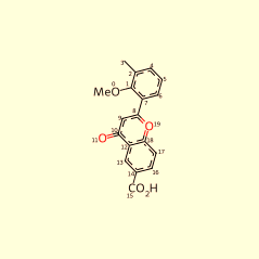 COc1c(C)cccc1-c1cc(=O)c2cc(C(=O)O)ccc2o1